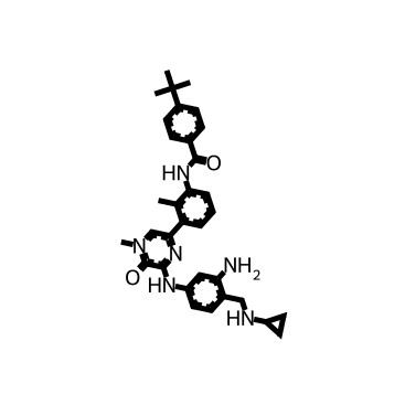 Cc1c(NC(=O)c2ccc(C(C)(C)C)cc2)cccc1-c1cn(C)c(=O)c(Nc2ccc(CNC3CC3)c(N)c2)n1